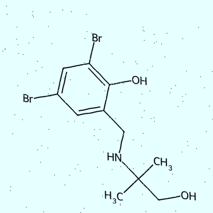 CC(C)(CO)NCc1cc(Br)cc(Br)c1O